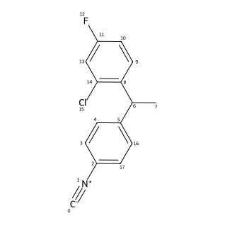 [C-]#[N+]c1ccc(C(C)c2ccc(F)cc2Cl)cc1